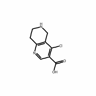 O=C(O)c1cnc2c(c1Cl)CNCC2